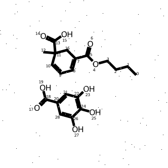 CCCCOC(=O)C1=CC=CC(C)(C(=O)O)C1.O=C(O)c1cc(O)c(O)c(O)c1